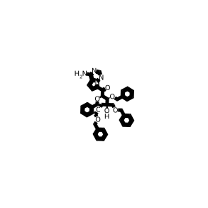 Nc1ncnn2c(C(=O)[C@H](OCc3ccccc3)[C@H](OCc3ccccc3)[C@@](O)(C=C=COCc3ccccc3)COCc3ccccc3)ccc12